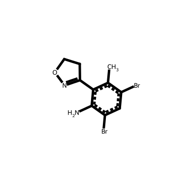 Cc1c(Br)cc(Br)c(N)c1C1=NOCC1